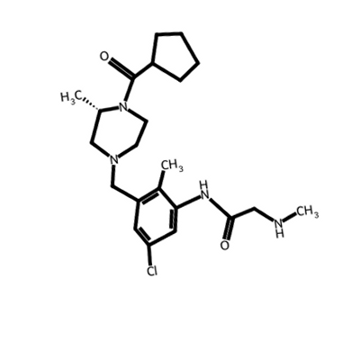 CNCC(=O)Nc1cc(Cl)cc(CN2CCN(C(=O)C3CCCC3)[C@@H](C)C2)c1C